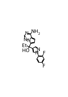 CCC(O)(c1cnn(-c2ccc(F)cc2F)c1)c1ccc2c(N)ncnn12